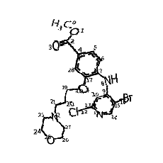 COC(=O)c1ccc(Nc2cc(Cl)ncc2Br)c(OCCCN2CCOCC2)c1